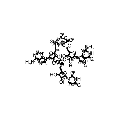 COC1C(OP(=O)(O)OCC2OC(n3ccc(=O)[nH]c3=O)C(O)C2O)C(COP(=O)(O)OP(=O)(O)OP(=O)(O)OCC2OC(n3c[n+](C)c4c(=O)[nH]c(N)nc43)C(O)C2O)OC1n1cnc2c(N)ncnc21